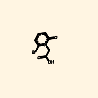 O=C(O)Cn1c(Br)cccc1=O